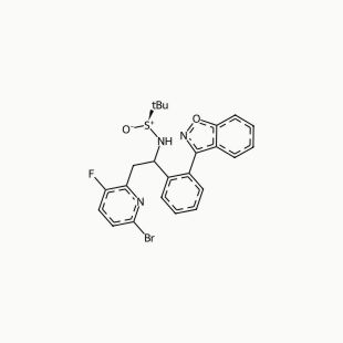 CC(C)(C)[S@+]([O-])NC(Cc1nc(Br)ccc1F)c1ccccc1-c1noc2ccccc12